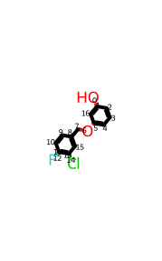 Oc1cccc(OCc2ccc(F)c(Cl)c2)c1